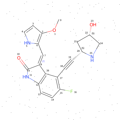 COc1cc[nH]c1/C=C1\C(=O)Nc2ccc(F)c(C#C[C@@H]3C[C@H](O)CN3)c21